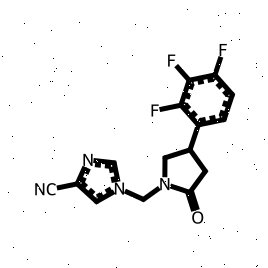 N#Cc1cn(CN2CC(c3ccc(F)c(F)c3F)CC2=O)cn1